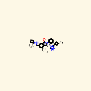 CC[C@H]1C[C@@](c2cccc(N3Cc4c(cc(CNC5(C)CCC5)cc4C(F)(F)F)C3=O)c2)(c2nncn2C)C1